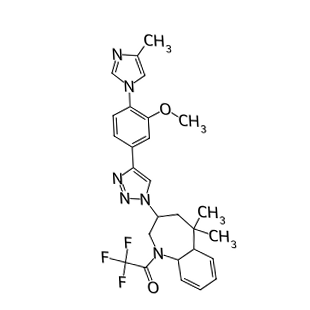 COc1cc(-c2cn(C3CN(C(=O)C(F)(F)F)C4C=CC=CC4C(C)(C)C3)nn2)ccc1-n1cnc(C)c1